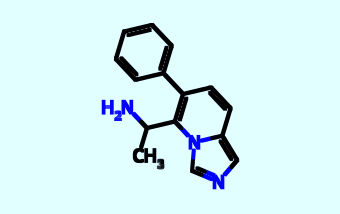 CC(N)c1c(-c2ccccc2)ccc2cncn12